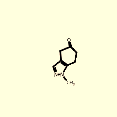 Cn1ncc2c1CCC(=O)C2